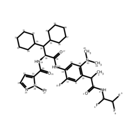 CC(C(=O)NC(F)C(F)F)c1cc(F)c(NC(=O)[C@@H](NC(=O)c2ccnn2C(C)C)C(C2CCCCC2)C2CCCCC2)cc1N(C)C